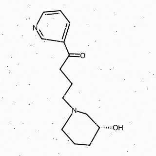 O=C(CCCN1CCC[C@@H](O)C1)c1cccnc1